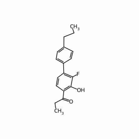 CCCc1ccc(-c2ccc(C(=O)CC)c(O)c2F)cc1